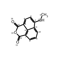 CBc1ccc2c3c(cccc13)C(=O)OC2=O